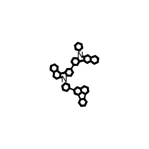 c1ccc(-n2c3ccc(-c4ccc5c(c4)c4c6ccccc6ccc4n5-c4cccc(-c5cc6c7c(cccc7c5)-c5ccccc5-6)c4)cc3c3cc4ccccc4cc32)cc1